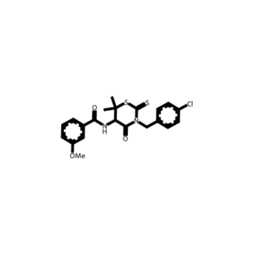 COc1cccc(C(=O)NC2C(=O)N(Cc3ccc(Cl)cc3)C(=S)SC2(C)C)c1